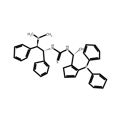 C[C@@H](NC(=S)N[C@H](c1ccccc1)[C@@H](c1ccccc1)N(C)C)C1=C(P(c2ccccc2)c2ccccc2)C=CC1